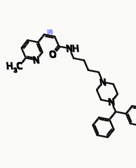 Cc1ccc(/C=C\C(=O)NCCCCN2CCN(C(c3ccccc3)c3ccccc3)CC2)cn1